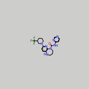 O=C(Nc1ccncn1)N1CCCNc2ccc(N3CCCC(C(F)(F)F)C3)nc21